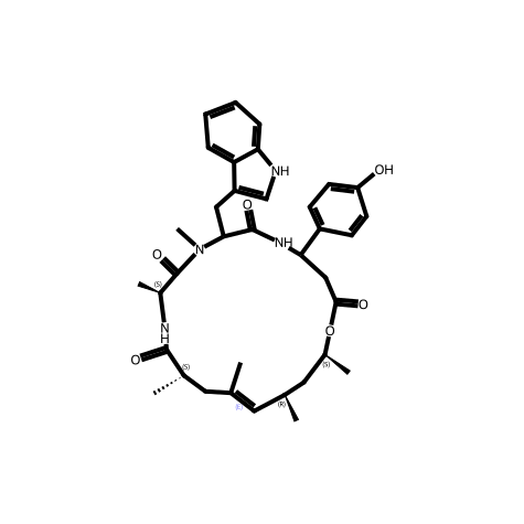 C/C1=C\[C@H](C)C[C@H](C)OC(=O)CC(c2ccc(O)cc2)NC(=O)C(Cc2c[nH]c3ccccc23)N(C)C(=O)[C@H](C)NC(=O)[C@@H](C)C1